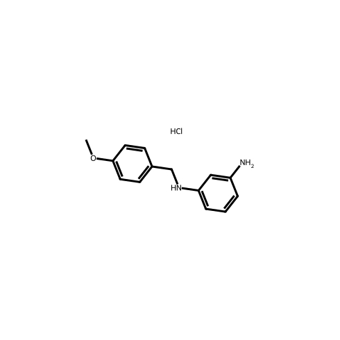 COc1ccc(CNc2cccc(N)c2)cc1.Cl